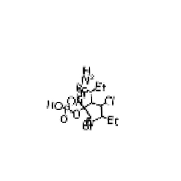 CCC(Br)C(Cl)C(C(Br)CC)C(CBr)(CBr)OP(=O)(O)O.N